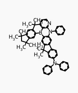 CC1(C)CC(C)(C)c2cc3c(cc21)B1c2cc4c(cc2N(c2ccccc2)c2nccc(c21)C3(C)C)-c1ccc(N(c2ccccc2)c2ccccc2)cc1C4(C)C